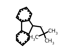 CC(C)(C)[CH]C1c2ccccc2-c2ccccc21